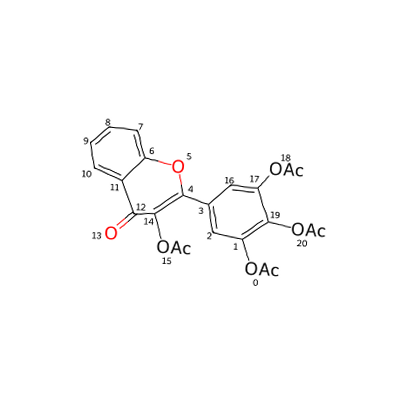 CC(=O)Oc1cc(-c2oc3ccccc3c(=O)c2OC(C)=O)cc(OC(C)=O)c1OC(C)=O